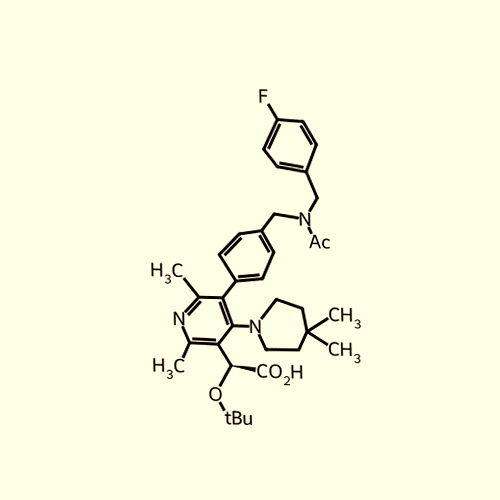 CC(=O)N(Cc1ccc(F)cc1)Cc1ccc(-c2c(C)nc(C)c([C@H](OC(C)(C)C)C(=O)O)c2N2CCC(C)(C)CC2)cc1